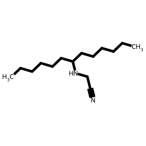 CCCCCCC(CCCCCC)NCC#N